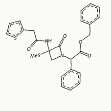 CSC1(NC(=O)Cc2cccs2)CN(C(C(=O)OCc2ccccc2)c2ccccc2)C1=O